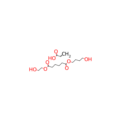 C=CC(=O)O.O=C(CCCCC(=O)OCCCCO)OCCO